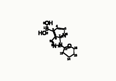 OB(O)c1ccnc2c1cnn2C1CCCCO1